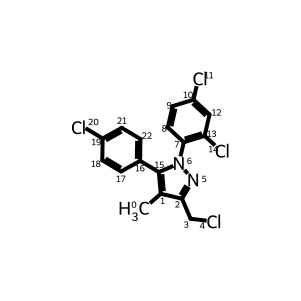 Cc1c(CCl)nn(-c2ccc(Cl)cc2Cl)c1-c1ccc(Cl)cc1